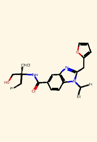 CCC(CC)n1c(Cc2ccco2)nc2cc(C(=O)N[C@@](C=O)(CO)CC(C)C)ccc21